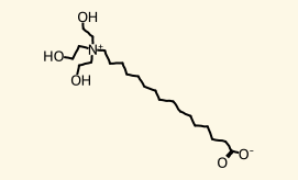 O=C([O-])CCCCCCCCCCCCCCC[N+](CCO)(CCO)CCO